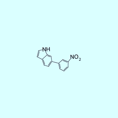 O=[N+]([O-])c1cccc(-c2ccc3cc[nH]c3c2)c1